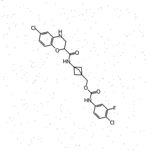 O=C(Nc1ccc(Cl)c(F)c1)OCC12CC(NC(=O)C3CNc4cc(Cl)ccc4O3)(C1)C2